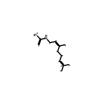 C=C(NC/C=C(/C)CCC=C(C)C)C(C)C